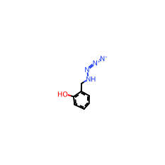 [N-]=[N+]=NNCc1ccccc1O